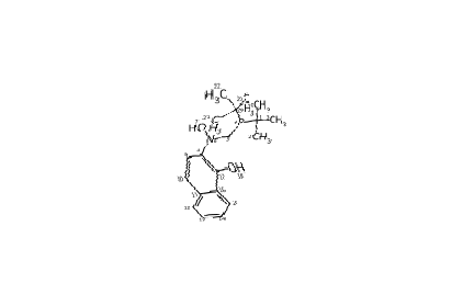 CC(C)(C)P(CN(O)c1ccc2ccccc2c1O)C(C)(C)C